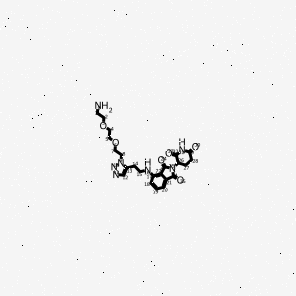 NCCOCCOCCn1nncc1CCNc1cccc2c1C(=O)N(C1CCC(=O)NC1=O)C2=O